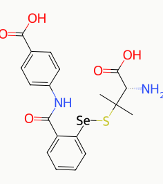 CC(C)(S[Se]c1ccccc1C(=O)Nc1ccc(C(=O)O)cc1)[C@@H](N)C(=O)O